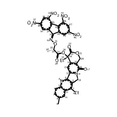 CCc1c2c(nc3ccc(C)cc13)-c1cc3c(c(=O)n1C2)COC(=O)[C@@]3(CC)OC(=O)[C@H](C)ON=C1c2cc([N+](=O)[O-])cc([N+](=O)[O-])c2-c2c1cc([N+](=O)[O-])cc2[N+](=O)[O-]